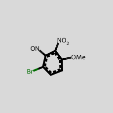 COc1ccc(Br)c(N=O)c1[N+](=O)[O-]